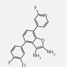 Nc1oc2c(-c3ccnc(F)c3)ccc(-c3ccc(F)c(Cl)c3)c2c1N